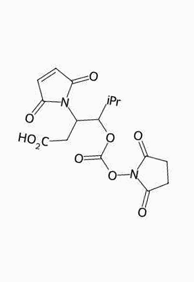 CC(C)C(OC(=O)ON1C(=O)CCC1=O)C(CC(=O)O)N1C(=O)C=CC1=O